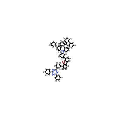 c1ccc(-c2ccc(N(c3cccc(-c4cccc5c4oc4c(-c6cccc(-c7nc(-c8ccccc8)nc(-c8ccccc8)n7)c6)cccc45)c3)c3cccc4c3-c3ccccc3C43c4ccccc4-c4ccccc43)cc2)cc1